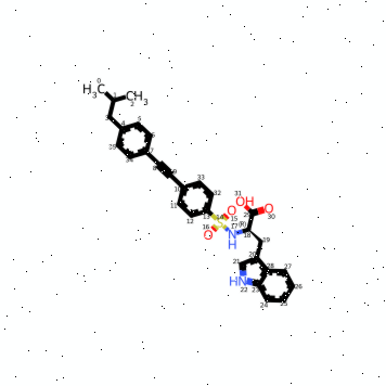 CC(C)Cc1ccc(C#Cc2ccc(S(=O)(=O)N[C@H](Cc3c[nH]c4ccccc34)C(=O)O)cc2)cc1